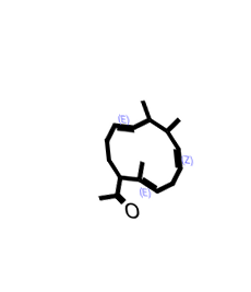 CC(=O)C1CC/C=C/C(C)C(C)/C=C\C/C=C/1C